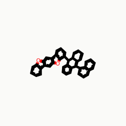 C1=CC2=C(c3cccc4ccccc34)c3ccccc3C(c3cccc4c3oc3cc5c(cc34)oc3ccccc35)C2C=C1